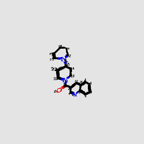 O=C(c1cnc2ccccc2c1)N1CCC(N2CCCCC2)CC1